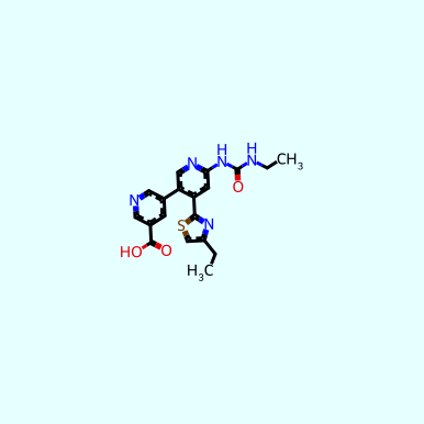 CCNC(=O)Nc1cc(-c2nc(CC)cs2)c(-c2cncc(C(=O)O)c2)cn1